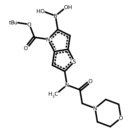 CN(C(=O)CN1CCOCC1)c1cc2c(cc(B(O)O)n2C(=O)OC(C)(C)C)s1